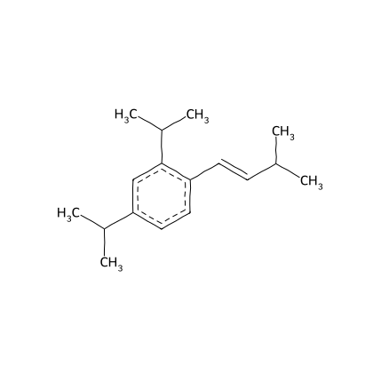 CC(C)C=Cc1ccc(C(C)C)cc1C(C)C